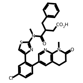 CN(C(=O)C(CC(=O)O)Cc1ccccc1)c1nc(-c2cc(Cl)ccc2-c2cnc3c(c2)CCC(=O)N3C)cs1